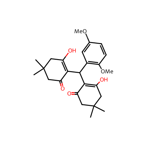 COc1ccc(OC)c(C(C2=C(O)CC(C)(C)CC2=O)C2=C(O)CC(C)(C)CC2=O)c1